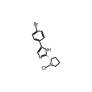 ClN1CCC[C@H]1c1ncc(-c2ccc(Br)cc2)[nH]1